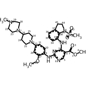 COC(=O)c1cnc(Nc2ccc(N3CCC(N4CCN(C)CC4)CC3)cc2OC)nc1Nc1cccc2c1N(S(C)(=O)=O)CC2